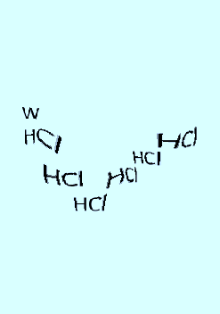 Cl.Cl.Cl.Cl.Cl.Cl.[W]